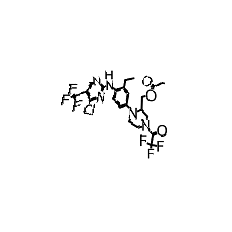 CCc1cc(N2CCN(C(=O)C(F)(F)F)CC2COC(C)=O)ccc1Nc1ncc(C(F)(F)F)c(Cl)n1